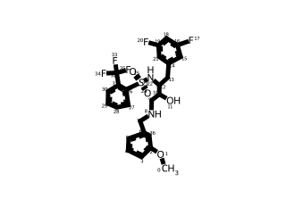 COc1cccc(CNCC(O)C(Cc2cc(F)cc(F)c2)NS(=O)(=O)c2ccccc2C(F)(F)F)c1